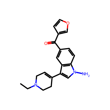 CCN1CC=C(c2cn(N)c3ccc(C(=O)c4ccoc4)cc23)CC1